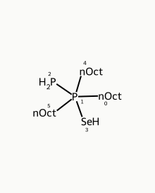 CCCCCCCCP(P)([SeH])(CCCCCCCC)CCCCCCCC